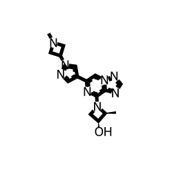 C[C@H]1[C@H](O)CN1c1nc(-c2cnn(C3CN(C)C3)c2)cn2ncnc12